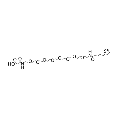 O=C(O)CC(=O)NCCOCCOCCOCCOCCOCCOCCOCCOCCNC(=O)CCCCC1CCSS1